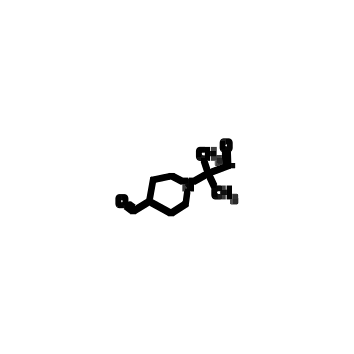 CC(C)([C]=O)N1CCC(C=O)CC1